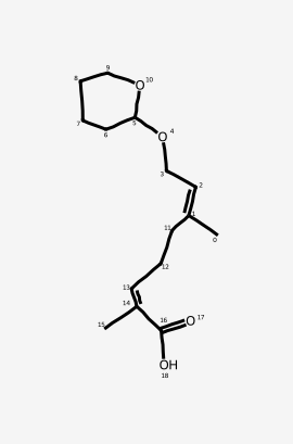 CC(=CCOC1CCCCO1)CCC=C(C)C(=O)O